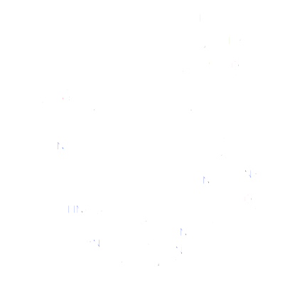 Cc1cc(-c2nc(-c3ccc(S(=O)(=O)C(F)(F)F)cc3)no2)nn1Cc1ccc(NCCN2CCOCC2)nc1